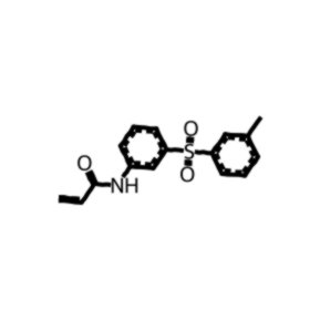 C=CC(=O)Nc1cccc(S(=O)(=O)c2cccc(C)c2)c1